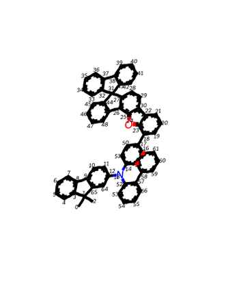 CC1(C)c2ccccc2-c2ccc(N(c3ccc(-c4cccc5c4oc4c6c(ccc45)C4(c5ccccc5-c5ccccc54)c4ccccc4-6)cc3)c3ccccc3-c3ccccc3)cc21